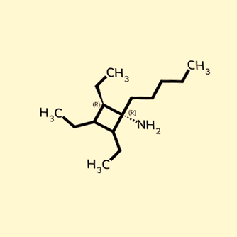 CCCCC[C@@]1(N)C(CC)C(CC)[C@H]1CC